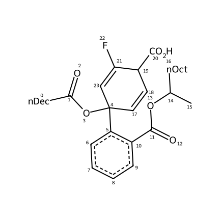 CCCCCCCCCCC(=O)OC1(c2ccccc2C(=O)OC(C)CCCCCCCC)C=CC(C(=O)O)C(F)=C1